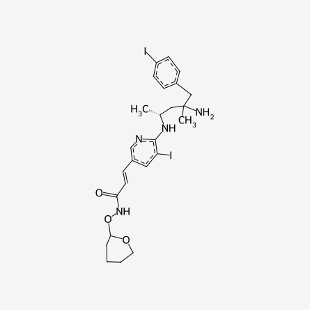 C[C@H](CC(C)(N)Cc1ccc(I)cc1)Nc1ncc(/C=C/C(=O)NOC2CCCCO2)cc1I